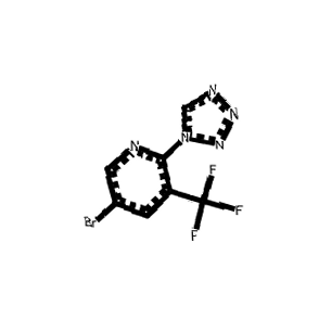 FC(F)(F)c1cc(Br)cnc1-n1cnnn1